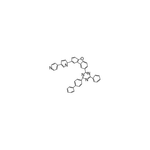 c1ccc(-c2ccc(-c3nc(-c4ccccc4)nc(-c4ccc5oc6ccc(-c7ccc(-c8ccncc8)cn7)cc6c5c4)n3)cc2)cc1